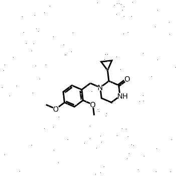 COc1ccc(CN2CCNC(=O)C2C2CC2)c(OC)c1